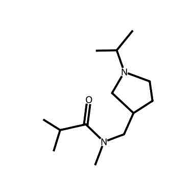 CC(C)C(=O)N(C)CC1CCN(C(C)C)C1